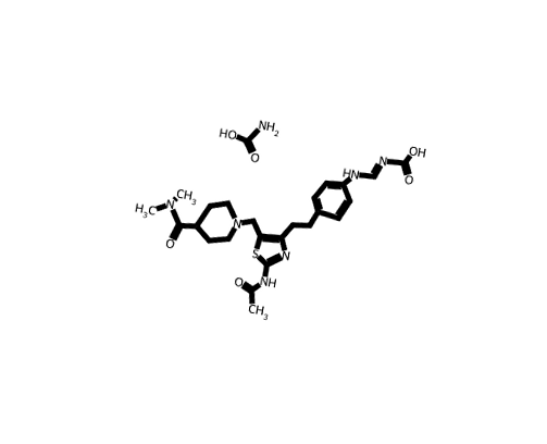 CC(=O)Nc1nc(CCc2ccc(NC=NC(=O)O)cc2)c(CN2CCC(C(=O)N(C)C)CC2)s1.NC(=O)O